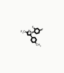 Cc1ccc(-c2cc(C(F)(F)F)nn2-c2ccc(F)cc2F)cc1